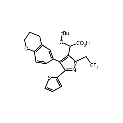 CC(C)(C)OC(C(=O)O)c1c(-c2ccc3c(c2)CCCO3)c(-c2cccs2)nn1CC(F)(F)F